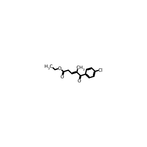 CCOC(=O)C/C=C(\C)C(=O)c1ccc(Cl)cc1